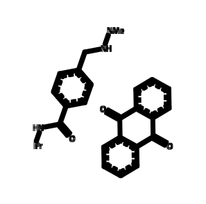 CNNCc1ccc(C(=O)NC(C)C)cc1.O=C1c2ccccc2C(=O)c2ccccc21